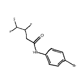 O=C(CC(F)C(F)F)Nc1ccc(Br)cc1